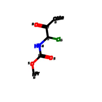 CCCOC(=O)NC(Cl)C(=O)OC